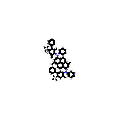 Cc1cc([Si](C)(C)C)c(-c2ccccc2)cc1N(c1ccccc1)c1cc(C)c2ccc3c(N(c4ccccc4)c4c(C)cc([Si](C)(C)C)c(-c5ccccc5)c4C)cc(C)c4ccc1c2c43